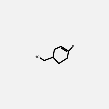 OCC1CC=C(F)CC1